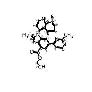 CCOC(=O)c1cc(-c2ccnc(C)n2)cc2c1nc(C)n2-c1ccnc2c(F)ccc(F)c12